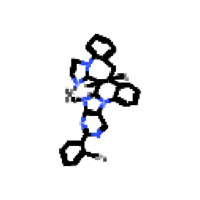 Cc1ccccc1-c1ncc2c(n1)N(C)C1N2c2ccccc2C2(C)Cc3ccccc3N3C=CN(C)C3C12C